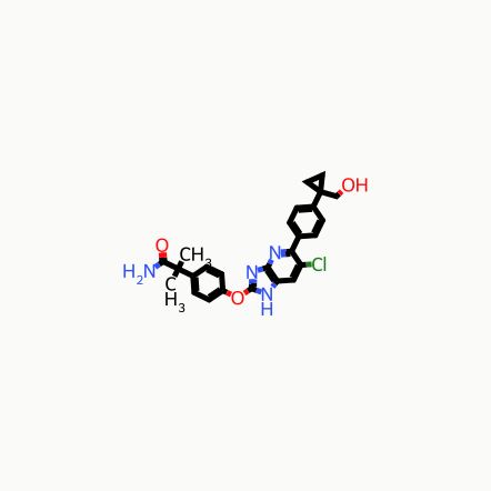 CC(C)(C(N)=O)c1ccc(Oc2nc3nc(-c4ccc(C5(CO)CC5)cc4)c(Cl)cc3[nH]2)cc1